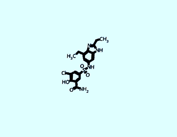 CCc1nc2c(CC)cc(NS(=O)(=O)c3cc(Cl)c(O)c(C(N)=O)c3)cc2[nH]1